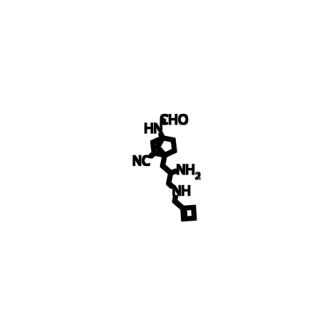 N#CC1CC2(NC=O)CCC1(CC(N)CNCC1=CCC1)C2